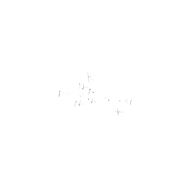 OC[C@H]1O[C@@H](n2cnc3c(O)nc(Br)nc32)CC1O